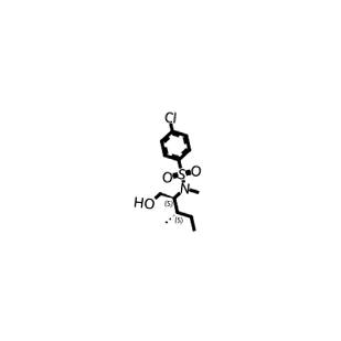 CC[C@H](C)[C@@H](CO)N(C)S(=O)(=O)c1ccc(Cl)cc1